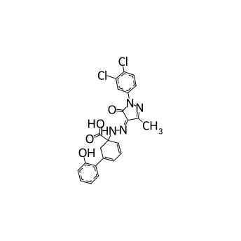 CC1=NN(c2ccc(Cl)c(Cl)c2)C(=O)/C1=N\NC1(C(=O)O)C=CC=C(c2ccccc2O)C1